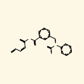 C=C/C=C\C(=C)NC(=O)c1cccc(CN(C(C)=O)c2ccccc2)c1